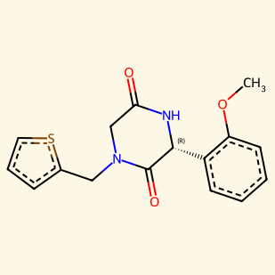 COc1ccccc1[C@H]1NC(=O)CN(Cc2cccs2)C1=O